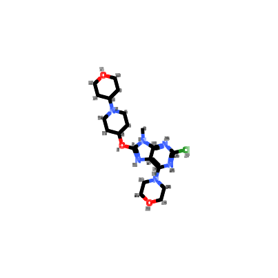 Cn1c(OC2CCN(C3CCOCC3)CC2)nc2c(N3CCOCC3)nc(Cl)nc21